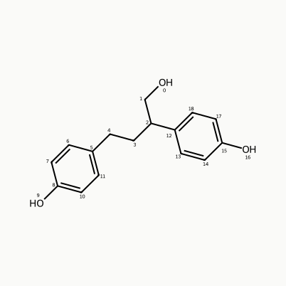 OCC(CCc1ccc(O)cc1)c1ccc(O)cc1